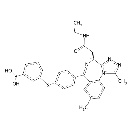 CCNC(=O)C[C@@H]1N=C(c2ccc(Sc3cccc(B(O)O)c3)cc2)c2cc(C)ccc2-n2c(C)nnc21